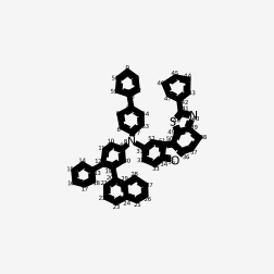 c1ccc(-c2ccc(N(c3ccc(-c4ccccc4)c(-c4cccc5ccccc45)c3)c3ccc4oc5ccc6nc(-c7ccccc7)sc6c5c4c3)cc2)cc1